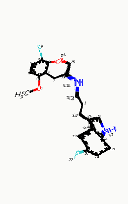 COc1ccc(F)c2c1CC(NCCCc1c[nH]c3ccc(F)cc13)CO2